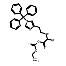 CC(C)C(NCCc1cn(C(c2ccccc2)(c2ccccc2)c2ccccc2)cn1)C(=O)OC(=O)OCC(Cl)(Cl)Cl